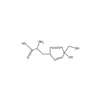 NC(CC1C=CC(O)(CO)C=C1)C(=O)O